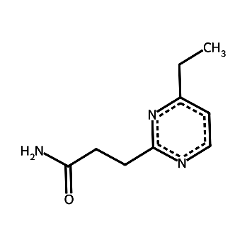 CCc1ccnc(CCC(N)=O)n1